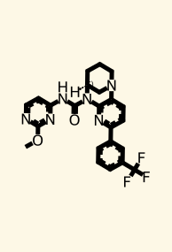 COc1nccc(NC(=O)N2c3nc(-c4cccc(C(F)(F)F)c4)ccc3N3CCC[C@H]2C3)n1